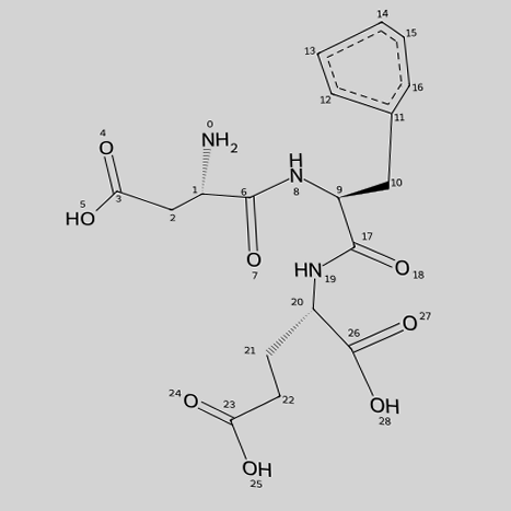 N[C@@H](CC(=O)O)C(=O)N[C@@H](Cc1ccccc1)C(=O)N[C@@H](CCC(=O)O)C(=O)O